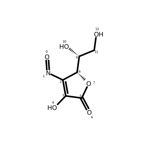 O=NC1=C(O)C(=O)O[C@H]1[C@H](O)CO